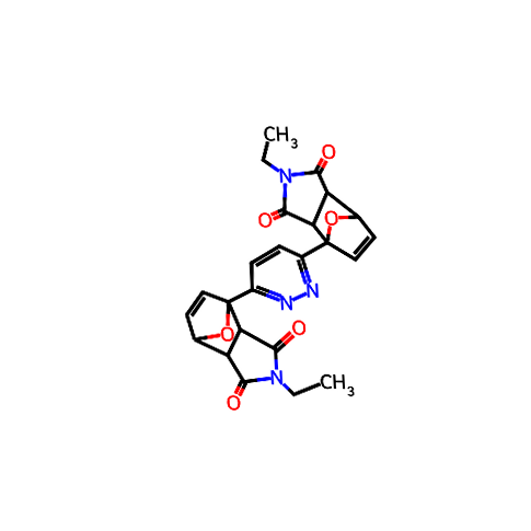 CCN1C(=O)C2C3C=CC(c4ccc(C56C=CC(O5)C5C(=O)N(CC)C(=O)C56)nn4)(O3)C2C1=O